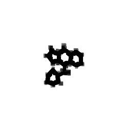 [c]1ccc(Nc2c3ccccc3nc3occc23)cc1